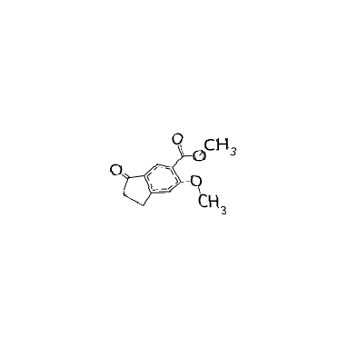 COC(=O)c1cc2c(cc1OC)CCC2=O